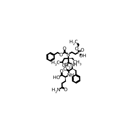 C=COP(=O)(O)CCN(C(=O)OCc1ccccc1)[C@@](CC)(CC(C)C)C(=O)N[C@@H](Cc1ccccc1)C(=O)N[C@@H](CCC(N)=O)C(=O)O